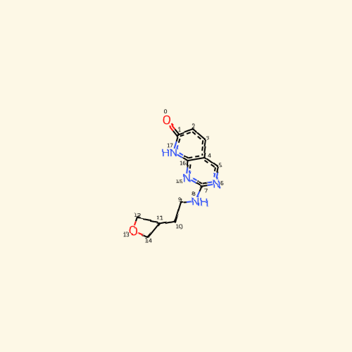 O=c1ccc2cnc(NCCC3COC3)nc2[nH]1